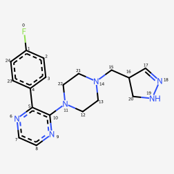 Fc1ccc(-c2nccnc2N2CCN(CC3C=NNC3)CC2)cc1